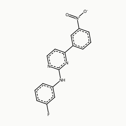 O=[N+]([O-])c1cccc(-c2ccnc(Nc3cccc(F)c3)n2)c1